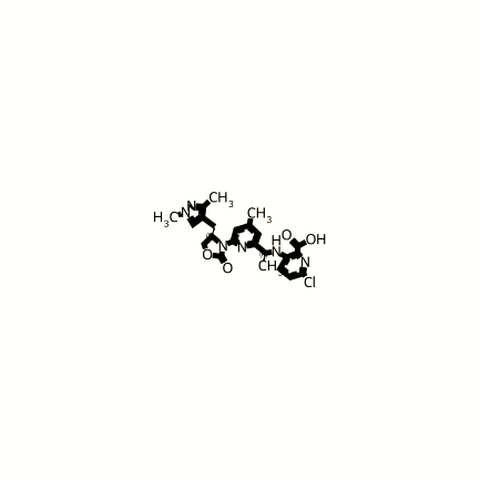 Cc1cc([C@@H](C)Nc2ccc(Cl)nc2C(=O)O)nc(N2C(=O)OC[C@@H]2Cc2cn(C)nc2C)c1